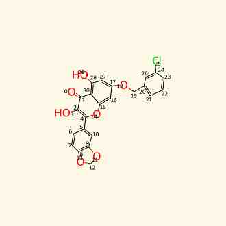 O=c1c(O)c(-c2ccc3c(c2)OCO3)oc2cc(OCc3cccc(Cl)c3)cc(O)c12